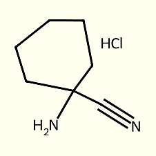 Cl.N#CC1(N)CCCCC1